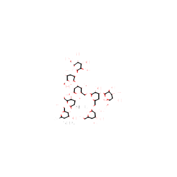 CC(=O)N[C@@H]1C(O[C@@H]2C(CO)OC(C(C)C)[C@@H](NC(C)=O)[C@H]2O)OC(CO)[C@@H](OC2OC(COC3OC(COC4OC(CO)[C@@H](O)[C@H](O)[C@H]4O)[C@@H](O)[C@H](OC4O[C@@H](CO)[C@@H](O)[C@H](O)C4O)[C@H]3O)[C@@H](O)[C@H](OC3O[C@@H](CO)[C@@H](O)[C@H](O)C3OC3O[C@@H](CO)[C@@H](O)[C@H](O)C3O)[C@H]2O)[C@@H]1O